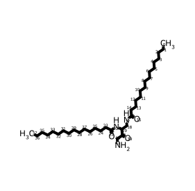 CCCCCCCCCCCCCCCC(=O)NCC(NC(=O)CCCCCCCCCCCCCCC)C(=O)CN